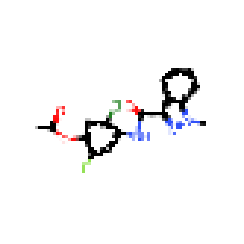 CC(=O)Oc1cc(Cl)c(NC(=O)c2nn(C)c3ccccc23)cc1F